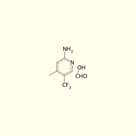 Cc1cc(N)ncc1C(F)(F)F.O=CO